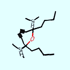 C#CC(CCCC)(OC(C#C)(CCCC)[SiH](C)C)[SiH](C)C